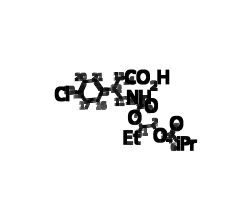 CCC(COC(=O)C(C)C)OC(=O)NCC(CC(=O)O)c1ccc(Cl)cc1